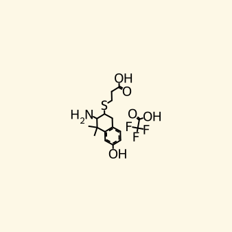 CC1(C)c2cc(O)ccc2CC(SCCC(=O)O)C1N.O=C(O)C(F)(F)F